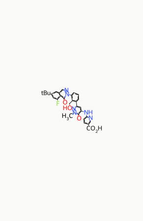 Cn1nc(-c2cccc(-n3ncc4cc(C(C)(C)C)cc(F)c4c3=O)c2CO)cc(Nc2ccc(C(=O)O)cn2)c1=O